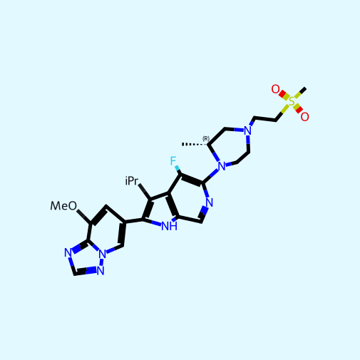 COc1cc(-c2[nH]c3cnc(N4CCN(CCS(C)(=O)=O)C[C@H]4C)c(F)c3c2C(C)C)cn2ncnc12